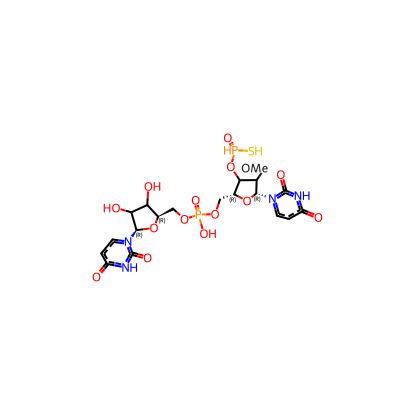 COC1C(O[PH](=O)S)[C@@H](COP(=O)(O)OC[C@H]2O[C@@H](n3ccc(=O)[nH]c3=O)C(O)C2O)O[C@H]1n1ccc(=O)[nH]c1=O